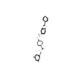 O=C(NCc1cc(F)cc(F)c1)C1CCC(NS(=O)(=O)c2ccc3[nH]c(-c4ccccc4)nc3c2)CC1